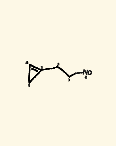 O=NCCC1=CC1